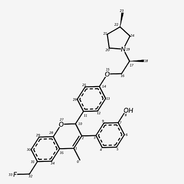 CC1=C(c2cccc(O)c2)C(c2ccc(OC[C@H](C)N3CC[C@@H](C)C3)cc2)Oc2ccc(CF)cc21